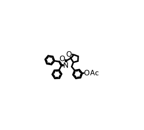 CC(=O)Oc1cccc(CC2CCC3OC23c2nc(-c3ccccc3)c(-c3ccccc3)o2)c1